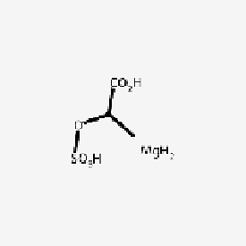 CC(OS(=O)(=O)O)C(=O)O.[MgH2]